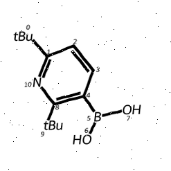 CC(C)(C)c1ccc(B(O)O)c(C(C)(C)C)n1